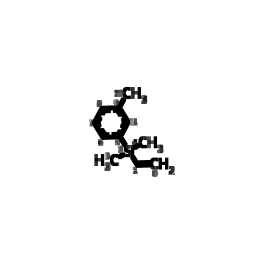 C=C[Si](C)(C)c1cccc(C)c1